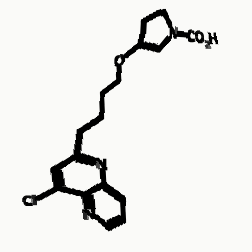 O=C(O)N1CCC(OCCCCc2cc(Cl)c3ncccc3n2)C1